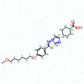 COCCCCCCOc1ccc(-c2nn3cc([C@H]4CC[C@H](C(=O)O)CC4)nc3s2)cc1